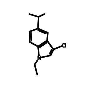 CCn1cc(Cl)c2cc(C(C)C)ccc21